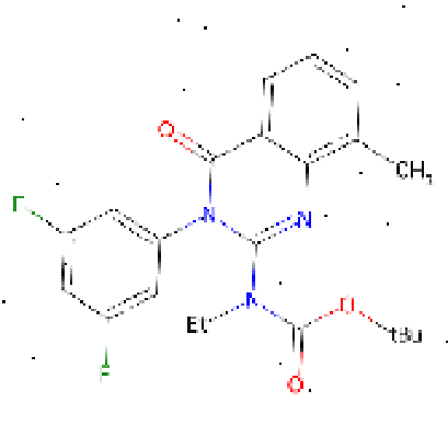 CCN(C(=O)OC(C)(C)C)c1nc2c(C)cccc2c(=O)n1-c1cc(F)cc(F)c1